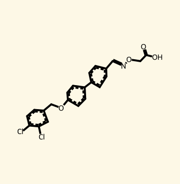 O=C(O)CON=Cc1ccc(-c2ccc(OCc3ccc(Cl)c(Cl)c3)cc2)cc1